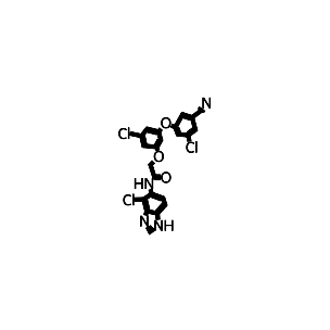 N#Cc1cc(Cl)cc(Oc2cc(Cl)cc(OCC(=O)Nc3ccc4[nH]cnc4c3Cl)c2)c1